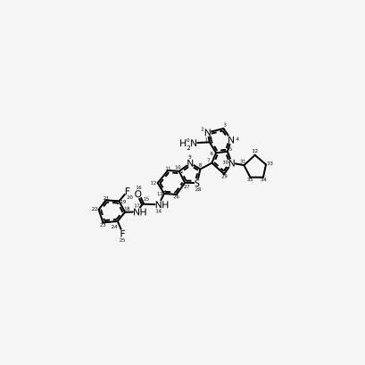 Nc1ncnc2c1c(-c1nc3ccc(NC(=O)Nc4c(F)cccc4F)cc3s1)cn2C1CCCC1